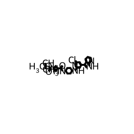 CC(C)(C)OC(=O)N1CC(C(=O)N[C@H]2CC[C@H](Nc3cc(-c4c[nH]c5ncccc45)cc(Cl)n3)CC2)C1